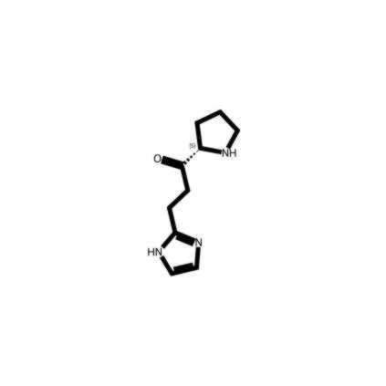 O=C(CCc1ncc[nH]1)[C@@H]1CCCN1